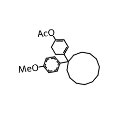 COc1ccc(C2(C3=CC=C(OC(C)=O)CC3)CCCCCCCCCCC2)cc1